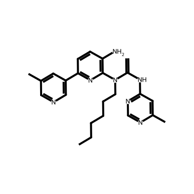 C=C(Nc1cc(C)ncn1)N(CCCCCC)c1nc(-c2cncc(C)c2)ccc1N